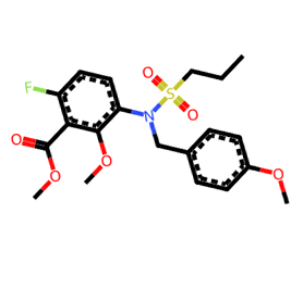 CCCS(=O)(=O)N(Cc1ccc(OC)cc1)c1ccc(F)c(C(=O)OC)c1OC